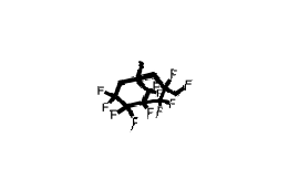 CC12CC(F)(F)C(F)(F)C(F)(C1(F)F)C(F)(F)C(F)(CF)C2